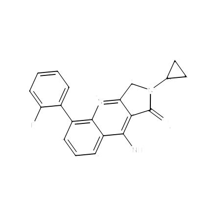 Nc1c2c(nc3c(-c4ccccc4F)cccc13)CN(C1CC1)C2=O